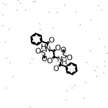 O=C(C(=O)N(C(=O)c1ccccc1)[SH](=O)=O)N(C(=O)c1ccccc1)[SH](=O)=O